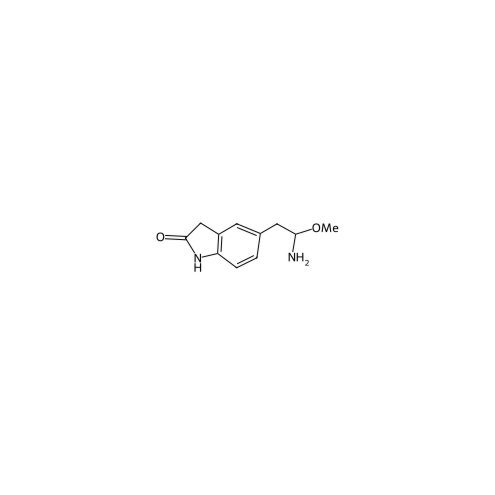 COC(N)Cc1ccc2c(c1)CC(=O)N2